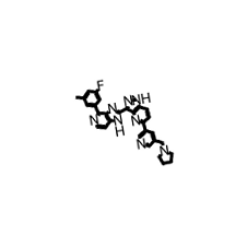 Cc1cc(F)cc(-c2nccc3[nH]c(-c4n[nH]c5ccc(-c6cncc(CN7CCCC7)c6)nc45)nc23)c1